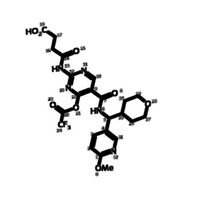 COc1ccc(C(NC(=O)c2cnc(NC(=O)CCC(=O)O)nc2OC(=O)C(F)(F)F)C2CCOCC2)cn1